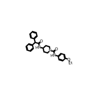 CCOc1ccc(NC(=O)N2CCC(NC(=O)C(c3ccccc3)c3ccccc3)CC2)cc1